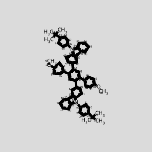 COc1ccc(-c2cc(-c3ccc4c(c3)c3ccccc3n4-c3ccc(C(C)(C)C)cc3)c(-c3ccc(OC)cc3)cc2-c2ccc3c(c2)c2ccccc2n3-c2ccc(C(C)(C)C)cc2)cc1